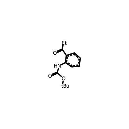 CCC(=O)c1ccccc1NC(=O)OC(C)(C)C